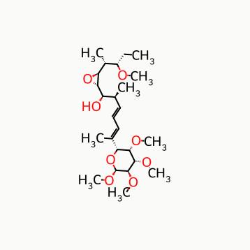 CC[C@H](OC)[C@@H](C)[C@@H]1O[C@H]1[C@H](O)[C@@H](C)/C=C/C=C(\C)[C@H]1O[C@H](OC)[C@H](OC)[C@@H](OC)[C@H]1OC